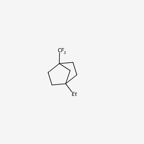 CCC12CCC(C(F)(F)F)(CC1)C2